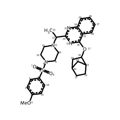 COc1ccc(S(=O)(=O)N2CCN(C(C)c3nc(OC4CC5CCC4C5)c4ccccc4n3)CC2)cc1